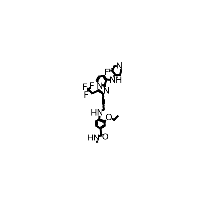 CCOc1cc(C(=O)NC)ccc1NCC#Cc1nc2c(N[C@@H]3CCN(C)C[C@@H]3F)cccn2c1CC(F)(F)F